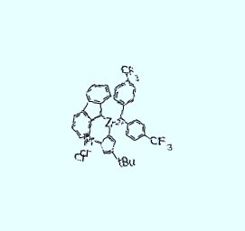 CC(C)C1C=C(C(C)(C)C)C=[C]1[Zr+2](=[C](c1ccc(C(F)(F)F)cc1)c1ccc(C(F)(F)F)cc1)[CH]1c2ccccc2-c2ccccc21.[Cl-].[Cl-]